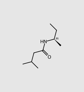 CC[C@@H](C)NC(=O)CC(C)C